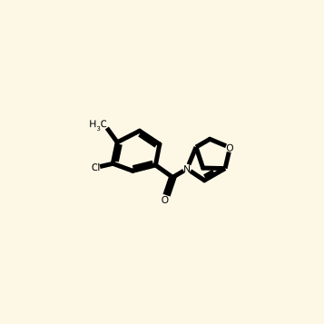 Cc1ccc(C(=O)N2C=C3CC2CO3)cc1Cl